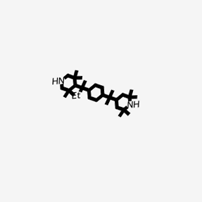 CCC(C)(C1CCC(C(C)(C)C2CC(C)(C)NC(C)(C)C2)CC1)C1C(C)(C)CNCC1(C)C